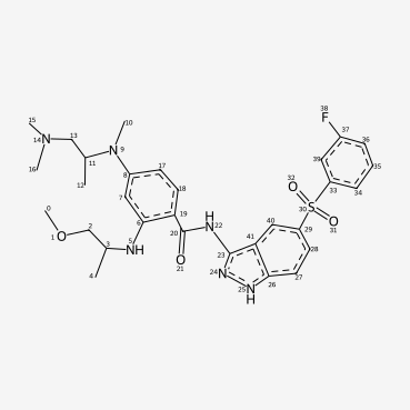 COCC(C)Nc1cc(N(C)C(C)CN(C)C)ccc1C(=O)Nc1n[nH]c2ccc(S(=O)(=O)c3cccc(F)c3)cc12